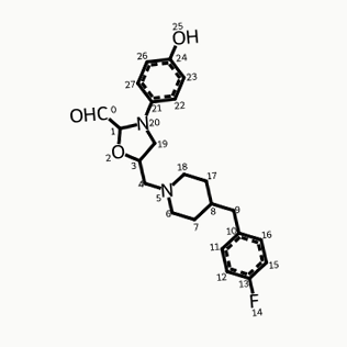 O=CC1OC(CN2CCC(Cc3ccc(F)cc3)CC2)CN1c1ccc(O)cc1